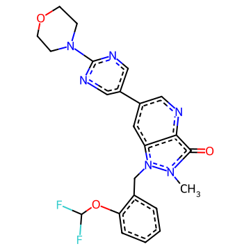 Cn1c(=O)c2ncc(-c3cnc(N4CCOCC4)nc3)cc2n1Cc1ccccc1OC(F)F